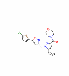 O=C(O)c1cc(C(=O)N2CCOCC2)nn1Cc1cc(-c2ccc(Cl)s2)on1